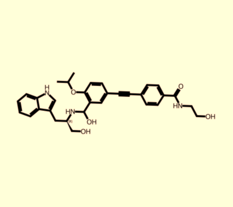 CC(C)Oc1ccc(C#Cc2ccc(C(=O)NCCO)cc2)cc1C(O)N[C@@H](CO)Cc1c[nH]c2ccccc12